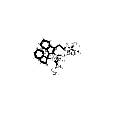 C[C](C)=[Zr+2][C]1(C2C([SiH](C)C)=C(CCO[Si](C)(C)C)c3ccccc32)C=Cc2ccccc21.[Cl-].[Cl-]